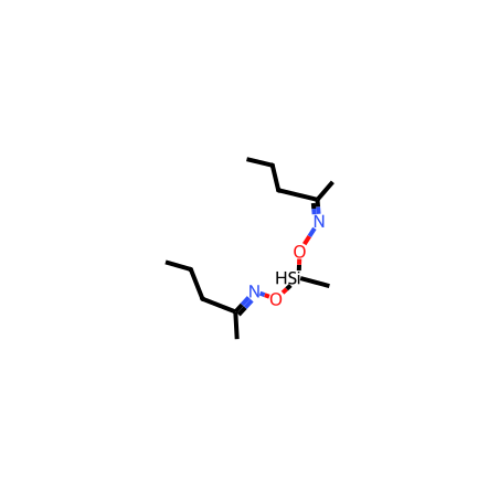 CCCC(C)=NO[SiH](C)ON=C(C)CCC